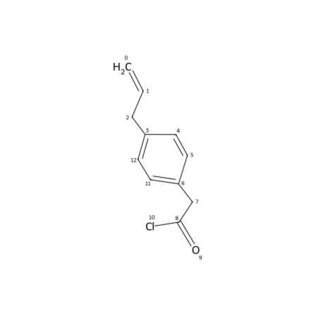 C=CCc1ccc(CC(=O)Cl)cc1